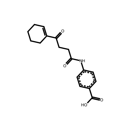 O=C(CCC(=O)C1=CCCCC1)Nc1ccc(C(=O)O)cc1